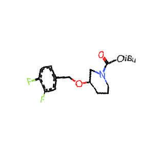 CC(C)COC(=O)N1CCCC(OCc2ccc(F)c(F)c2)C1